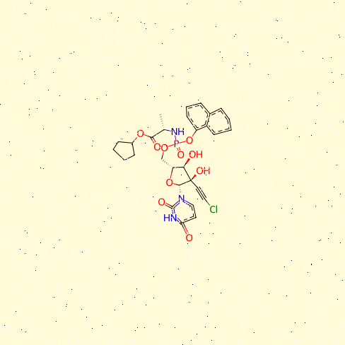 C[C@H](NP(=O)(OC[C@H]1O[C@@H](n2ccc(=O)[nH]c2=O)[C@@](O)(C#CCl)[C@@H]1O)Oc1cccc2ccccc12)C(=O)OC1CCCC1